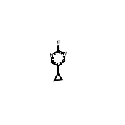 Fc1ncc(C2CC2)cn1